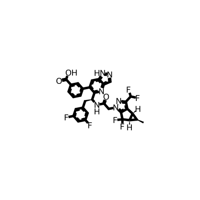 C[C@@H]1[C@@H]2c3c(C(F)F)nn(CC(=O)N[C@@H](Cc4cc(F)cc(F)c4)c4nc5cn[nH]c5cc4-c4cccc(C(=O)O)c4)c3C(F)(F)[C@H]12